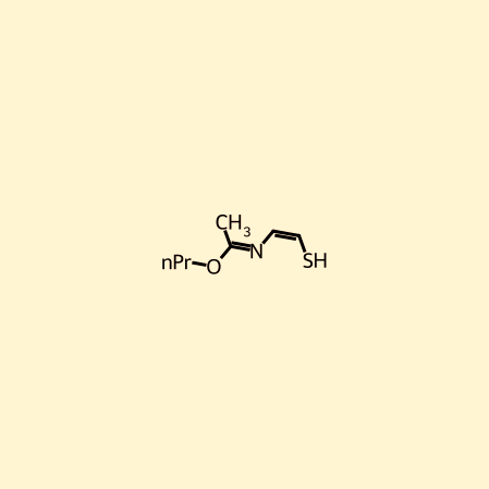 CCCO/C(C)=N/C=C\S